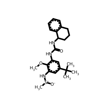 COc1c(NC(=O)NC2CCCc3ccccc32)cc(C(C)(C)C)cc1N[S+](C)[O-]